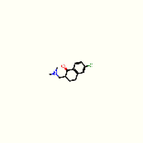 CN(C)CC1CCc2cc(Cl)ccc2C1=O